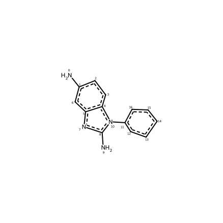 Nc1ccc2c(c1)nc(N)n2-c1ccccc1